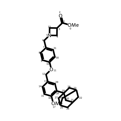 COC(=O)C1CN(Cc2ccc(OCc3ccc(OC)c(C45CC6CC(CC(C6)C4)C5)c3)cc2)C1